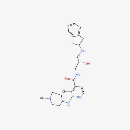 CC(=O)N1CCC(Nc2nccc(C(=O)NC[C@@H](O)CNC3Cc4ccccc4C3)c2Cl)CC1